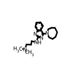 CN(C)CCCNc1nc(N2CCCCCCC2)c2ccccc2n1